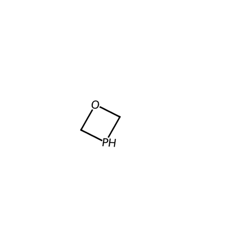 C1OCP1